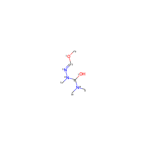 CO/C=N/N(C)C(O)N(C)C